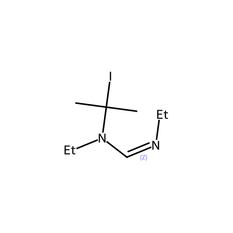 CC/N=C\N(CC)C(C)(C)I